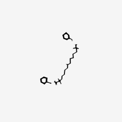 CC(C)(CCCCCC(O)CCCCCC(C)(C)C(=O)OCc1ccccc1)C(=O)OCc1ccccc1